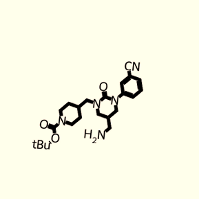 CC(C)(C)OC(=O)N1CCC(CN2CC(CN)CN(c3cccc(C#N)c3)C2=O)CC1